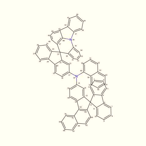 c1ccc2c(c1)-c1ccccc1C21c2cc(N(c3ccc4c(c3)C3(c5ccccc5-4)c4ccccc4-n4c5ccccc5c5cccc3c54)c3cccc4ccccc34)ccc2-c2c1ccc1ccccc21